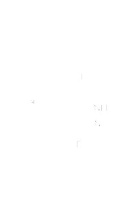 CCc1n[nH]c2c(F)cc(Br)cc12